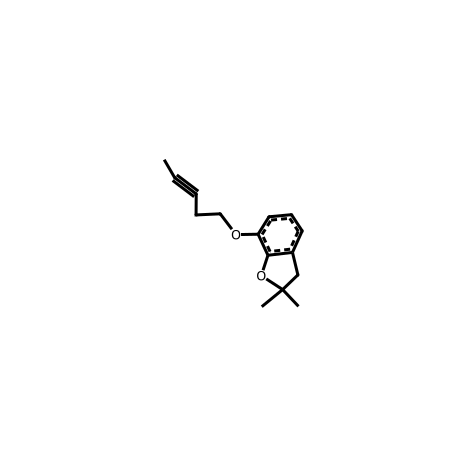 CC#CCCOc1cccc2c1OC(C)(C)C2